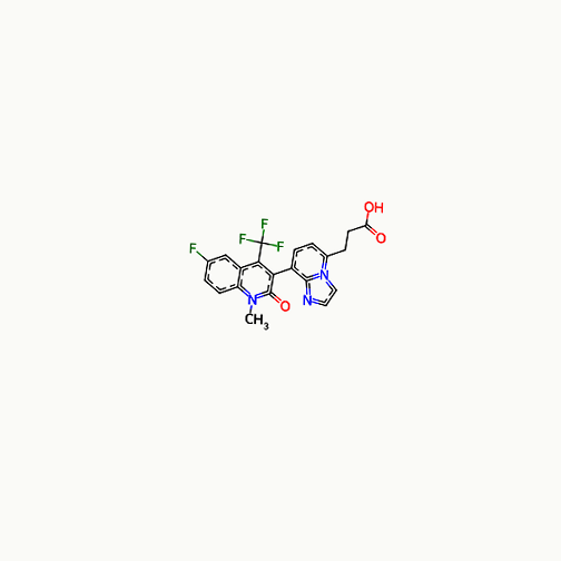 Cn1c(=O)c(-c2ccc(CCC(=O)O)n3ccnc23)c(C(F)(F)F)c2cc(F)ccc21